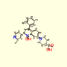 Cc1cc(C(C[C@H](c2ccc(N3CCC(C(=O)O)CC3)cc2)c2ccccc2C)=NO)ccn1